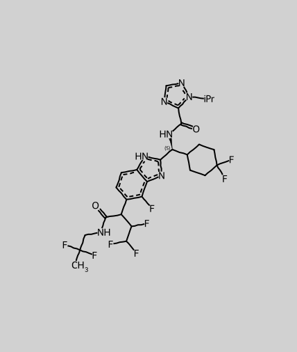 CC(C)n1ncnc1C(=O)N[C@H](c1nc2c(F)c(C(C(=O)NCC(C)(F)F)C(F)C(F)F)ccc2[nH]1)C1CCC(F)(F)CC1